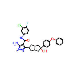 Cn1nc(C2CC3CC(O)(c4ccc(Oc5ccccc5)cc4)CC3C2)c(C(=O)Nc2ccc(F)c(Cl)c2)c1N